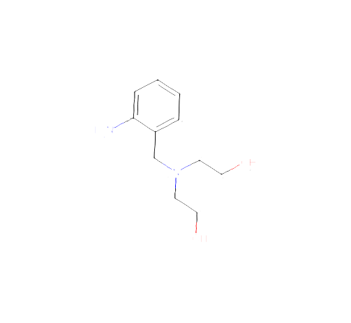 Nc1ccccc1CN(CCO)CCO